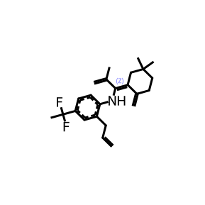 C=CCc1cc(C(C)(F)F)ccc1N/C(C(=C)C)=C1/CC(C)(C)CCC1=C